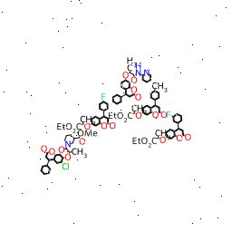 CC(Oc1ccc2c(-c3ccccc3)cc(=O)oc2c1)C(=O)Nc1ccccn1.CCOC(=O)C(C)Oc1ccc2c(-c3ccc(C)cc3)cc(=O)oc2c1.CCOC(=O)C(C)Oc1ccc2c(-c3ccc(F)cc3)cc(=O)oc2c1.CCOC(=O)C(C)Oc1ccc2c(-c3cccc(F)c3)cc(=O)oc2c1.COC(=O)C1CCCN(C(=O)C(C)Oc2cc3oc(=O)cc(-c4ccccc4)c3cc2Cl)C1